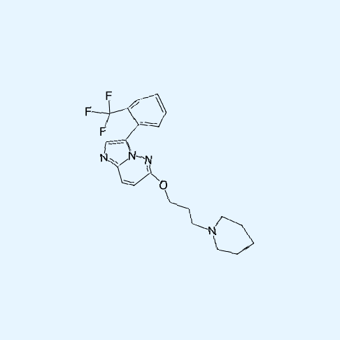 FC(F)(F)c1ccccc1-c1cnc2ccc(OCCCN3CCCCC3)nn12